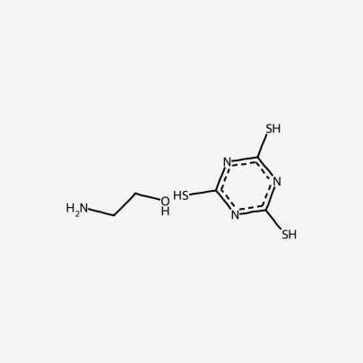 NCCO.Sc1nc(S)nc(S)n1